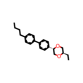 CCCCc1ccc(-c2ccc([C@H]3CO[C@H](CC)CO3)cc2)cc1